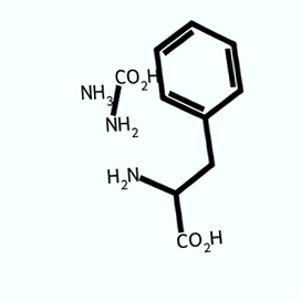 N.NC(=O)O.NC(Cc1ccccc1)C(=O)O